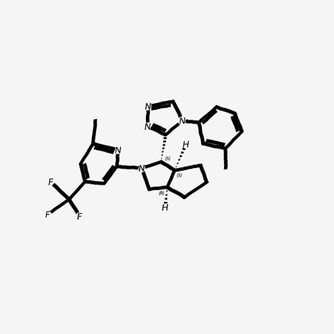 Cc1cccc(-n2cnnc2[C@@H]2[C@H]3CCC[C@H]3CN2c2cc(C(F)(F)F)cc(C)n2)c1